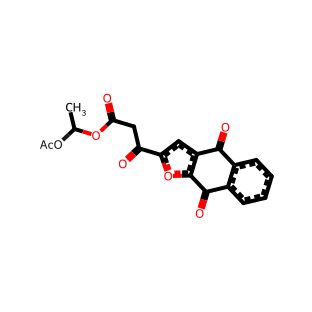 CC(=O)OC(C)OC(=O)CC(=O)c1cc2c(o1)C(=O)c1ccccc1C2=O